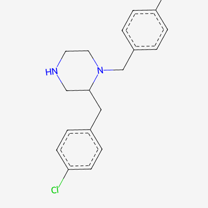 Cc1ccc(CN2CCNCC2Cc2ccc(Cl)cc2)cc1